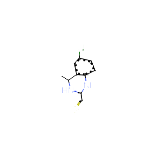 CC1NC(C=S)Nc2ccc(Cl)cc21